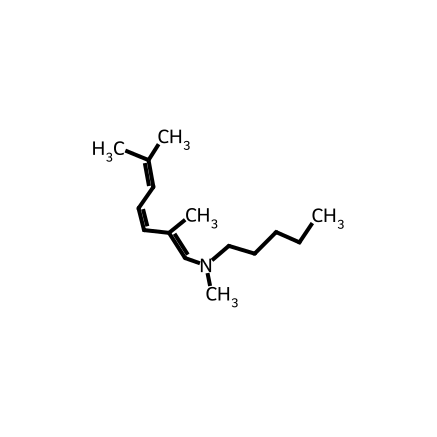 CCCCCN(C)/C=C(C)/C=C\C=C(C)C